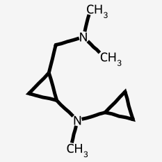 CN(C)CC1CC1N(C)C1CC1